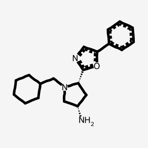 N[C@H]1C[C@@H](c2ncc(-c3ccccc3)o2)N(CC2CCCCC2)C1